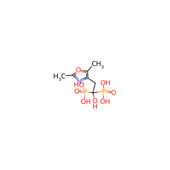 Cc1nc(CC(O)(P(=O)(O)O)P(=O)(O)O)c(C)o1